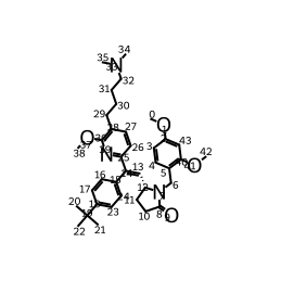 COc1ccc(CN2C(=O)CC[C@@H]2/C=C(\c2ccc(C(C)(C)C)cc2)c2ccc(CCCCN(C)C)c(OC)n2)c(OC)c1